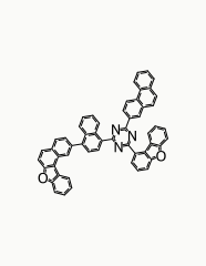 c1ccc2c(c1)ccc1cc(-c3nc(-c4ccc(-c5ccc6ccc7oc8ccccc8c7c6c5)c5ccccc45)nc(-c4cccc5oc6ccccc6c45)n3)ccc12